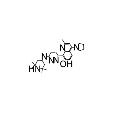 Cc1cc(N2CCCC2)c2ccc(O)c(-c3ccc(N(C)C4CC(C)(C)NC(C)(C)C4)nn3)c2n1